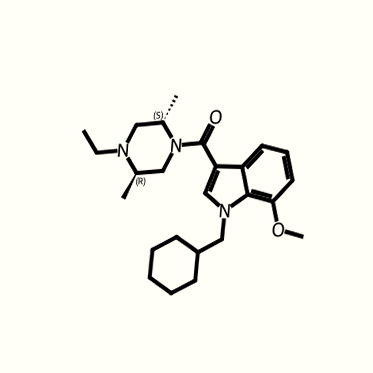 CCN1C[C@H](C)N(C(=O)c2cn(CC3CCCCC3)c3c(OC)cccc23)C[C@H]1C